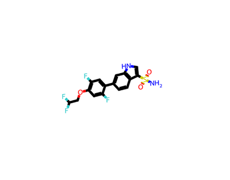 NS(=O)(=O)c1c[nH]c2cc(-c3cc(F)c(OCC(F)F)cc3F)ccc12